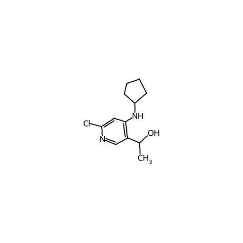 CC(O)c1cnc(Cl)cc1NC1CCCC1